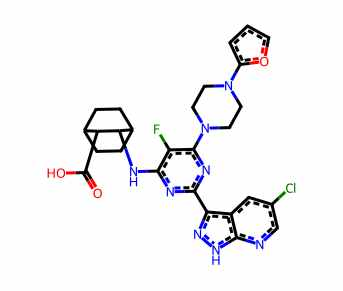 O=C(O)C1C2CCC(CC2)C1Nc1nc(-c2n[nH]c3ncc(Cl)cc23)nc(N2CCN(c3ccco3)CC2)c1F